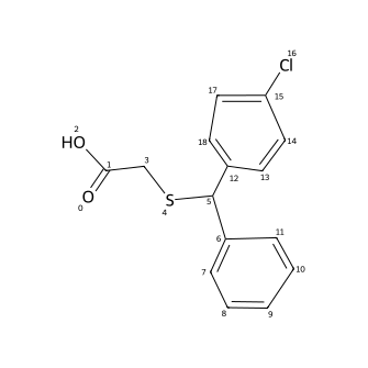 O=C(O)CSC(c1ccccc1)c1ccc(Cl)cc1